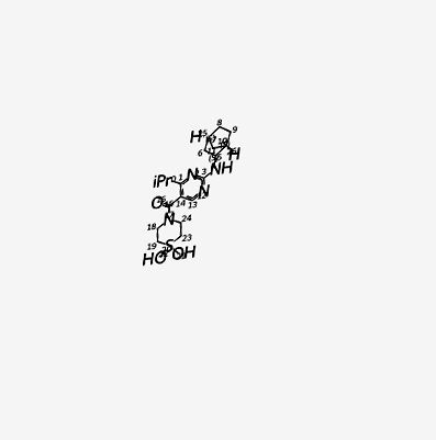 CC(C)c1nc(N[C@H]2C[C@H]3CC[C@H]2C3)ncc1C(=O)N1CCS(O)(O)CC1